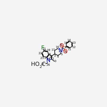 Cc1c(C2CCN(S(=O)(=O)c3ccccc3)CC2)c2cc(F)ccc2n1CC(=O)O